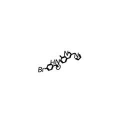 Cc1c(NC(=O)c2ccc(Br)cc2)ccc2cc(Cn3cccc3)cnc12